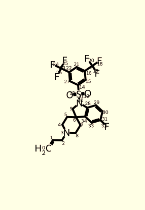 C=CCN1CCC2(CC1)CN(S(=O)(=O)c1cc(C(F)(F)F)cc(C(F)(F)F)c1)c1ccc(F)cc12